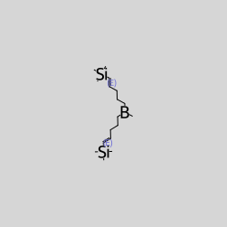 CB(CCC/C=C/[Si](C)(C)C)CCC/C=C/[Si](C)(C)C